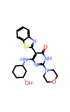 O=c1[nH]c(N2CCOCC2)nc(N[C@@H]2CCC[C@@H](O)C2)c1-c1nc2ccccc2s1